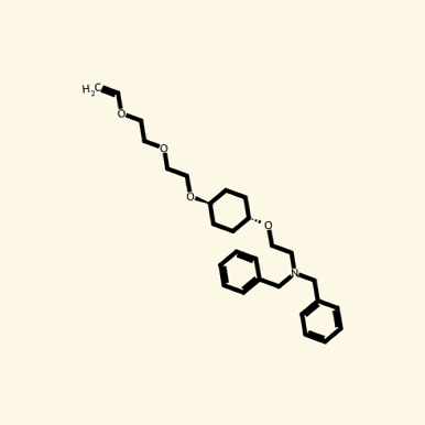 C=COCCOCCO[C@H]1CC[C@H](OCCN(Cc2ccccc2)Cc2ccccc2)CC1